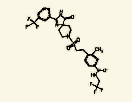 Cc1cc([S+]([O-])NCC(F)(F)F)ccc1CCS(=O)(=O)N1CCC2(CC1)N=C(c1cccc(C(F)(F)F)c1)NC2=O